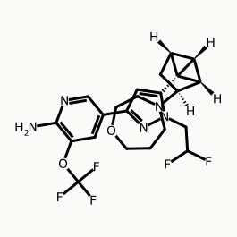 Nc1ncc(-c2cc([C@@]34[C@@H]5[C@H]3[C@H]4C[C@@H]5N3CCCOCC3)n(CC(F)F)n2)cc1OC(F)(F)F